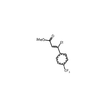 CCC(=CC(=O)OC)c1ccc(C(F)(F)F)cc1